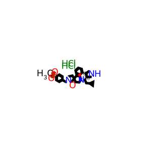 CS(=O)(=O)c1ccc(CN2CCC3(CCN(C(CC4CC4)[C@@H]4CNC[C@@H]4c4ccccc4)CC3)C2=O)cc1.Cl.Cl